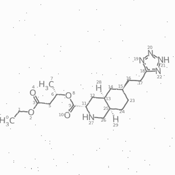 CCOC(=O)C[C@H](C)OC(=O)[C@@H]1C[C@H]2C[C@@H](CCc3nn[nH]n3)CC[C@H]2CN1